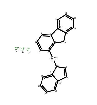 C1=C[CH]([Hf+3][c]2cccc3c2Cc2ccccc2-3)c2ccccc21.[Cl-].[Cl-].[Cl-]